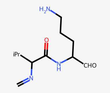 C=NC(C(=O)NC(C=O)CCCN)C(C)C